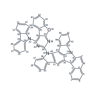 c1ccc2c(c1)ccc1c2c2cc3c4ccccc4n(-c4nc(-n5c6ccccc6c6ccccc65)c5c(n4)oc4ccccc45)c3c3c4ccccc4n1c23